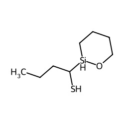 CCCC(S)[SiH]1CCCCO1